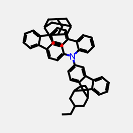 CCC1CC2CCCC(C1)C21c2ccccc2-c2cc(N(c3ccc4c(c3)C3(c5ccccc5-4)C4CC5CC(C4)CC3C5)c3ccccc3-c3ccccc3)ccc21